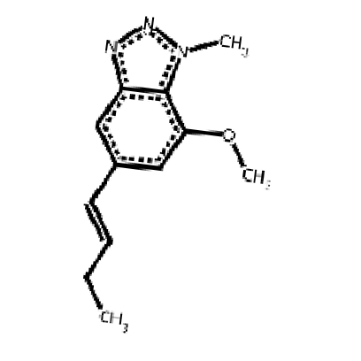 CC/C=C/c1cc(OC)c2c(c1)nnn2C